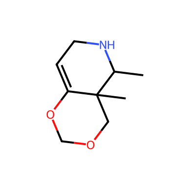 CC1NCC=C2OCOCC21C